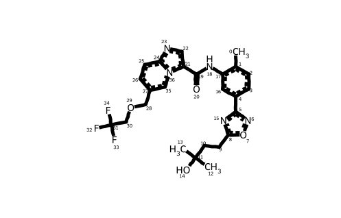 Cc1ccc(-c2noc(CCC(C)(C)O)n2)cc1NC(=O)c1cnc2ccc(COCC(F)(F)F)cn12